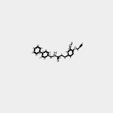 C#CCOc1ccc(CCC(=S)NCc2ccc(-c3ccccc3)cc2)cc1OC